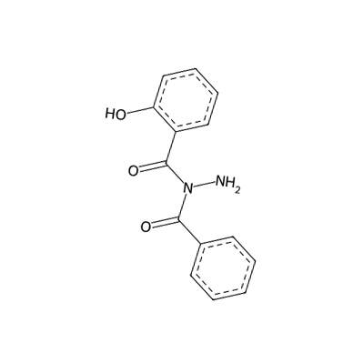 NN(C(=O)c1ccccc1)C(=O)c1ccccc1O